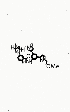 COCCn1ccc(-c2cc(-c3cnn(C)c3)cc([C@@H](C)NC(=O)c3cc(N4C[C@H]5C[C@@H]4CN5C)ccc3C)c2)n1